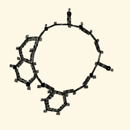 O=C1/C=C\C=N/C(=O)COc2ccc3ncnc(c3c2)/N=c2/cccc/c2=C/C=N\1